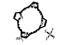 C1=Cc2cc3ccc(cc4nc(cc5ccc(cc1n2)[nH]5)C=C4)[nH]3.F[B-](F)(F)F.[AlH3]